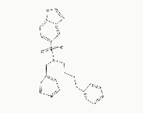 O=S(=O)(c1ccc2occc2c1)N(CCCCc1ccccc1)Cc1ccncc1